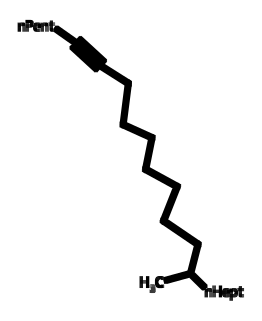 [CH2]CCCCC#CCCCCCCCC(C)CCCCCC[CH2]